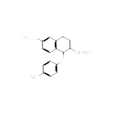 CCCCCCCC1CCc2cc(C(=O)O)ccc2C1Sc1ccc(C#N)cc1